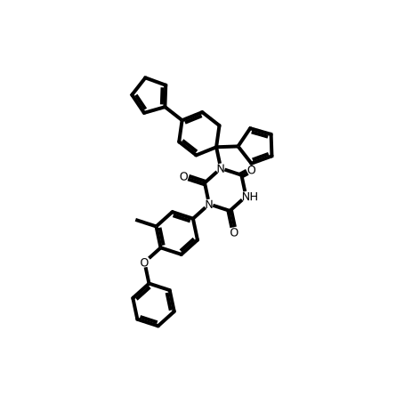 Cc1cc(-n2c(=O)[nH]c(=O)n(C3(C4C=CC=C4)C=CC(C4=CCC=C4)=CC3)c2=O)ccc1Oc1ccccc1